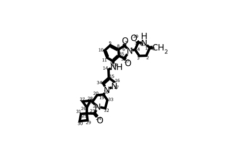 C=C1CCC(N2C(=O)c3cccc(NCc4cnn(C5CCN(C(=O)C6(C7CC7)CCC6)CC5)c4)c3C2=O)C(=O)N1